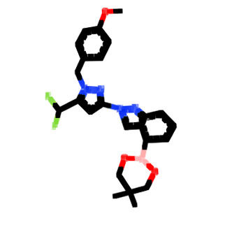 COc1ccc(Cn2nc(-n3cc4c(B5OCC(C)(C)CO5)cccc4n3)cc2C(F)F)cc1